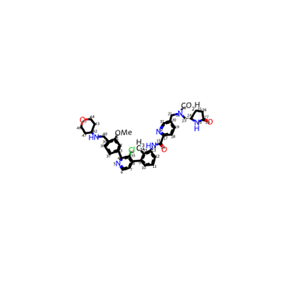 COc1cc(-c2nccc(-c3cccc(NC(=O)c4ccc(CN(C[C@@H]5CCC(=O)N5)C(=O)O)cn4)c3C)c2Cl)ccc1CNC1CCOCC1